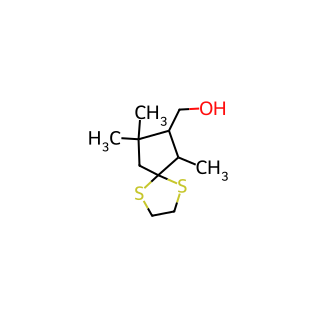 CC1C(CO)C(C)(C)CC12SCCS2